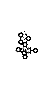 N#Cc1cccc(-c2ccc(-n3c4ccccc4c4ccccc43)c(-c3nc(-c4ccccc4)nc(-c4ccccc4)n3)c2)c1-n1c2ccccc2c2ccccc21